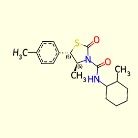 Cc1ccc([C@@H]2SC(=O)N(C(=O)NC3CCCCC3C)[C@H]2C)cc1